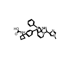 Cn1cnc(C2N=NC34C=CN(c5ccccc5)C(c5ccc(C6(NC(=O)O)CCC6)cc5)=C3C=CCN24)c1